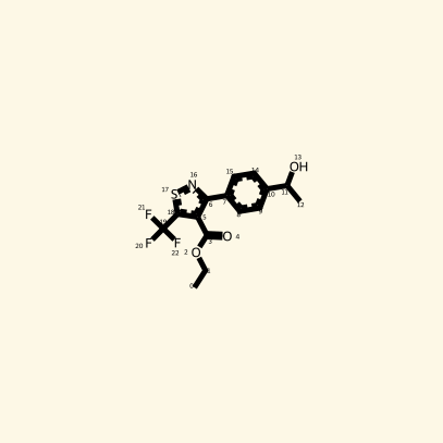 CCOC(=O)c1c(-c2ccc(C(C)O)cc2)nsc1C(F)(F)F